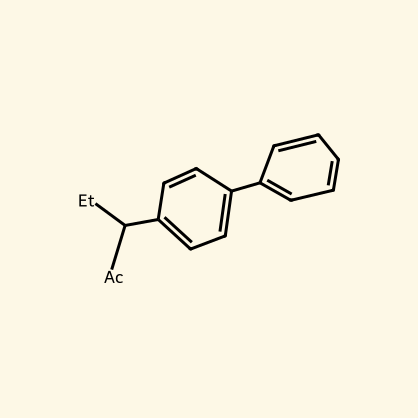 CCC(C(C)=O)c1ccc(-c2ccccc2)cc1